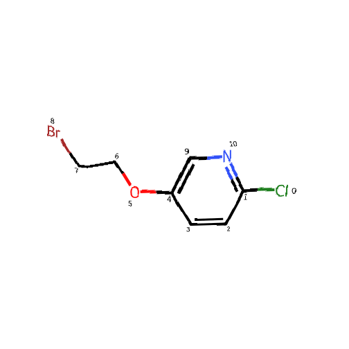 Clc1ccc(OCCBr)cn1